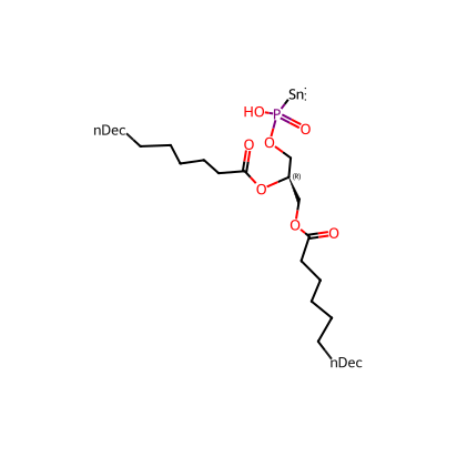 CCCCCCCCCCCCCCCC(=O)OC[C@H](CO[P](=O)(O)[Sn])OC(=O)CCCCCCCCCCCCCCC